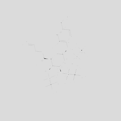 C=CCOC(=O)[C@H]1O[C@@H](Oc2ccc(CO)cc2F)[C@H](O[Si](C)(C)C(C)(C)C)[C@@H](O[Si](C)(C)C(C)(C)C)[C@H]1O[Si](C)(C)C(C)(C)C